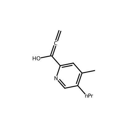 C=C=C(O)c1cc(C)c(CCC)cn1